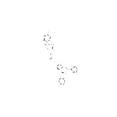 Cc1cc(C)c(S(=O)(=O)N[C@@H](CNC(=O)COc2cc(CNc3ccccn3)n(C(=O)Cc3ccccc3)c2)C(=O)O)c(C)c1